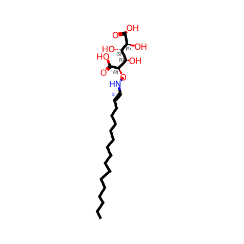 CCCCCCCCCCCCCCC/C=C/NO[C@@H](C(=O)O)[C@@H](O)[C@H](O)[C@H](O)C(=O)O